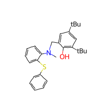 CN(Cc1cc(C(C)(C)C)cc(C(C)(C)C)c1O)c1ccccc1Sc1ccccc1